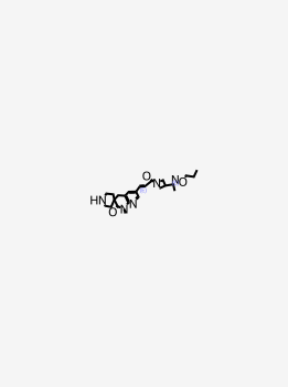 CCCO/N=C(\C)C1CN(C(=O)/C=C/c2cnc3c(c2)CC2(CCNCC2)C(=O)N3C)C1